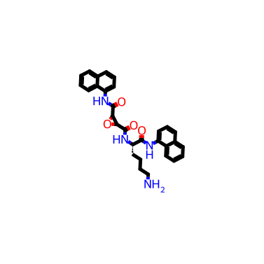 NCCCC[C@H](NC(=O)C1OC1C(=O)Nc1cccc2ccccc12)C(=O)Nc1cccc2ccccc12